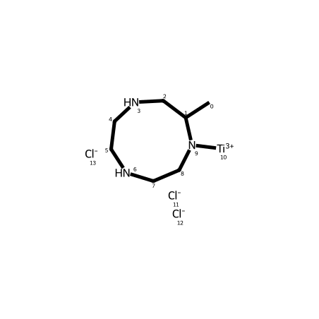 CC1CNCCNCC[N]1[Ti+3].[Cl-].[Cl-].[Cl-]